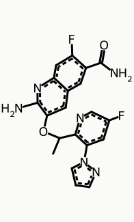 CC(Oc1cc2cc(C(N)=O)c(F)cc2nc1N)c1ncc(F)cc1-n1cccn1